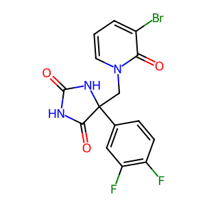 O=C1NC(=O)C(Cn2cccc(Br)c2=O)(c2ccc(F)c(F)c2)N1